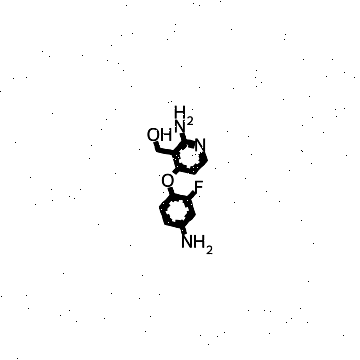 Nc1ccc(Oc2ccnc(N)c2CO)c(F)c1